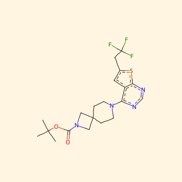 CC(C)(C)OC(=O)N1CC2(CCN(c3ncnc4sc(CC(F)(F)F)cc34)CC2)C1